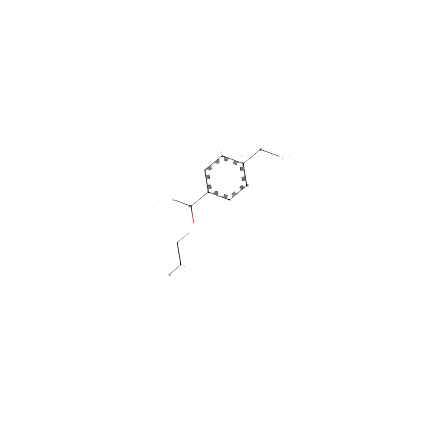 CCCCC(OCCC(=O)O)c1ccc(CC(C)C)cc1